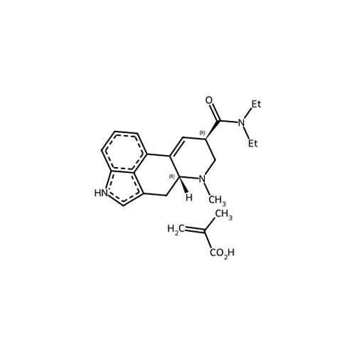 C=C(C)C(=O)O.CCN(CC)C(=O)[C@@H]1C=C2c3cccc4[nH]cc(c34)C[C@H]2N(C)C1